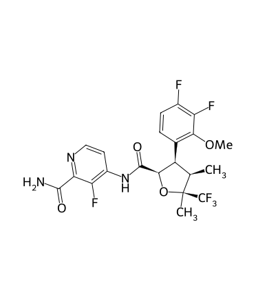 COc1c([C@H]2[C@@H](C)[C@@](C)(C(F)(F)F)O[C@H]2C(=O)Nc2ccnc(C(N)=O)c2F)ccc(F)c1F